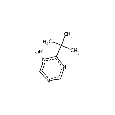 CC(C)(C)c1ncncn1.[LiH]